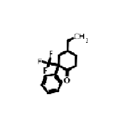 CCC1CCC(=O)C(c2ccccc2)(C(F)(F)F)C1